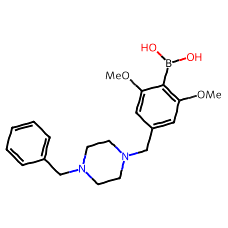 COc1cc(CN2CCN(Cc3ccccc3)CC2)cc(OC)c1B(O)O